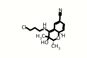 C[C@H]1O[C@@H]2C=CC(C#N)=CC2=C(NCCCCl)C1(C)O